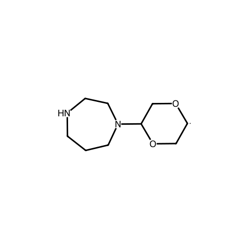 [CH]1COC(N2CCCNCC2)CO1